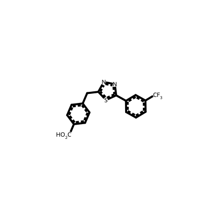 O=C(O)c1ccc(Cc2nnc(-c3cccc(C(F)(F)F)c3)s2)cc1